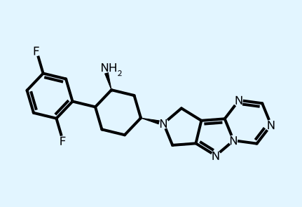 N[C@H]1C[C@@H](N2Cc3nn4cncnc4c3C2)CCC1c1cc(F)ccc1F